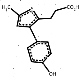 Cc1cc(-c2ccc(O)cc2)c(CCC(=O)O)s1